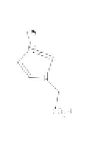 CCC[n+]1ccn(CC(=O)O)c1